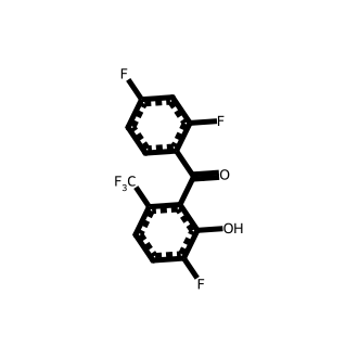 O=C(c1ccc(F)cc1F)c1c(C(F)(F)F)ccc(F)c1O